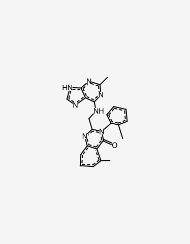 Cc1nc(NCc2nc3cccc(C)c3c(=O)n2-c2ccccc2C)c2nc[nH]c2n1